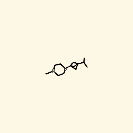 CC(C)C12CC(N3CCN(C)CC3)(C1)C2